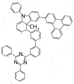 CC12C(=CC=CC1c1cccc(-c3cccc(-c4nc(-c5ccccc5)nc(-c5ccccc5)n4)c3)c1)N(c1ccccc1)c1ccc(-c3ccc4c5ccccc5c5ccccc5c4c3)cc12